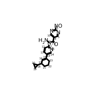 NN(C(=O)c1cnc(N=O)nc1)c1ccc(C2=CC(C3CC3)CCC2)cn1